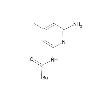 Cc1cc(N)nc(NC(=O)C(C)(C)C)c1